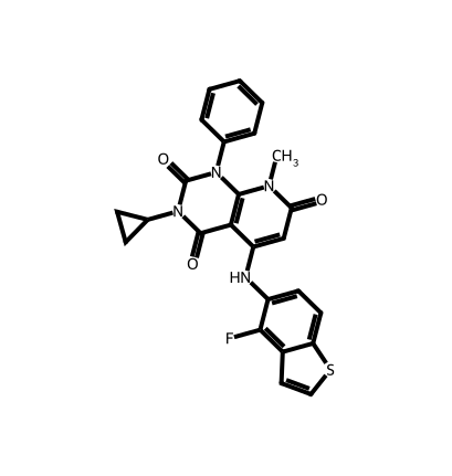 Cn1c(=O)cc(Nc2ccc3sccc3c2F)c2c(=O)n(C3CC3)c(=O)n(-c3ccccc3)c21